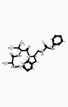 CNC(C)C(=O)N[C@H](C(=O)N1c2ncccc2CC1CNC(=O)Nc1ccccc1)C(C)C